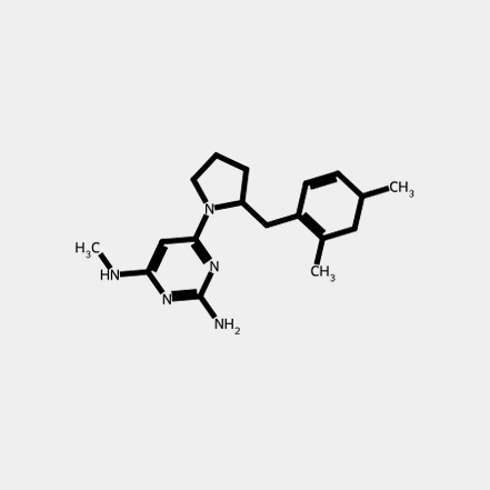 CNc1cc(N2CCCC2CC2=C(C)CC(C)C=C2)nc(N)n1